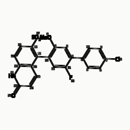 COc1cc(-c2ccc(Cl)cc2)c(F)cc1-c1c(S(=O)(=O)O)ccc2[nH]c(=O)ccc12